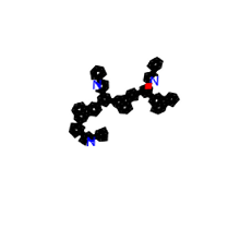 c1ccc(-c2ccc(-c3cc(-c4ccc5c(c4)-c4cccc6cc(-c7cc(-c8ccc(-c9ccccc9)nc8)cc(-c8ccc9c(c8)-c8cccc%10cc(-c%11cccc(-c%12ccnc(-c%13ccccc%13)c%12)c%11)cc-9c8%10)c7)cc-5c46)cc(-c4cc5c6c(cccc6c4)-c4ccccc4-5)c3)nc2)cc1